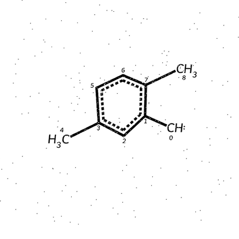 [CH]c1cc(C)ccc1C